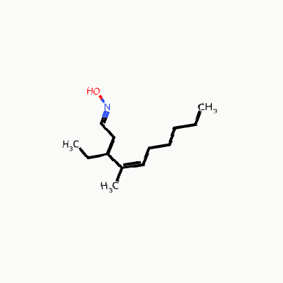 CCCCCC=C(C)C(CC)CC=NO